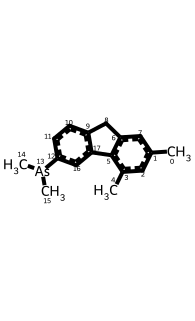 Cc1cc(C)c2c(c1)Cc1ccc([As](C)C)cc1-2